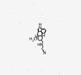 CN1CC(CNCCC#N)C[C@@H]2c3cccc4[nH]cc(c34)C[C@H]21